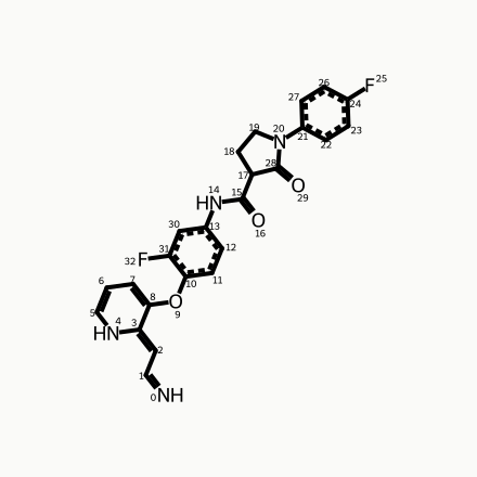 N=C/C=C1\NC=CC=C1Oc1ccc(NC(=O)C2CCN(c3ccc(F)cc3)C2=O)cc1F